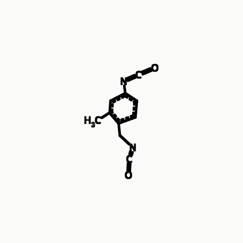 Cc1cc(N=C=O)ccc1CN=C=O